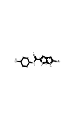 CCCc1cc2cc(C(=O)OC3CCC(CC)CC3)sc2s1